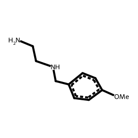 COc1ccc(CNCCN)cc1